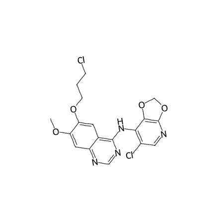 COc1cc2ncnc(Nc3c(Cl)cnc4c3OCO4)c2cc1OCCCCl